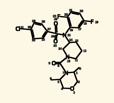 CC1COCC(C)N1C(=O)N1CCCC(N(c2cc(F)ccc2F)S(=O)(=O)c2ccc(Cl)cc2)C1